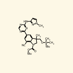 Cn1ccc(Nc2ncnc(-c3cc(C#N)c4c(c3)C(C)(CO[Si](C)(C)C(C)(C)C)CN4C(=O)OC(C)(C)C)n2)n1